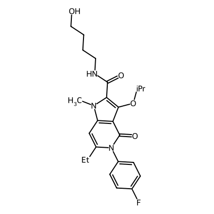 CCc1cc2c(c(OC(C)C)c(C(=O)NCCCCO)n2C)c(=O)n1-c1ccc(F)cc1